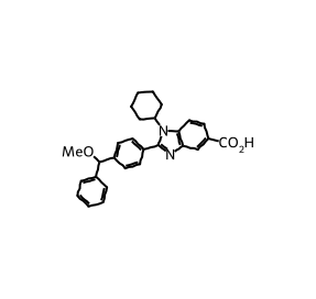 COC(c1ccccc1)c1ccc(-c2nc3cc(C(=O)O)ccc3n2C2CCCCC2)cc1